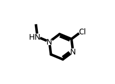 CNN1C=C(Cl)N=CC1